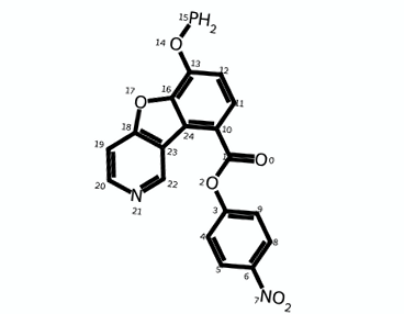 O=C(Oc1ccc([N+](=O)[O-])cc1)c1ccc(OP)c2oc3ccncc3c12